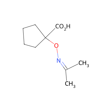 CC(C)=NOC1(C(=O)O)CCCC1